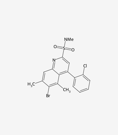 CNS(=O)(=O)c1cc(-c2ccccc2Cl)c2c(C)c(Br)c(C)cc2n1